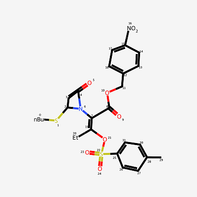 CCCCSC1CC(=O)N1C(C(=O)OCc1ccc([N+](=O)[O-])cc1)=C(CC)OS(=O)(=O)c1ccc(C)cc1